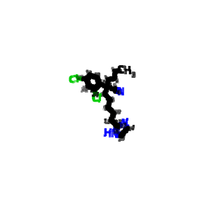 CCCCC(C#N)(CCCCCc1ncc[nH]1)c1ccc(Cl)cc1Cl